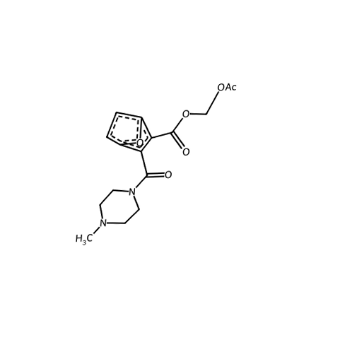 CC(=O)OCOC(=O)c1c(C(=O)N2CCN(C)CC2)c2ccc1o2